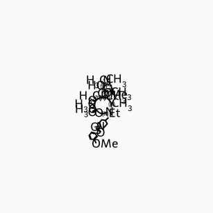 CCN1C[C@H](C)C[C@@](C)(OC)[C@H](O[C@@H]2O[C@H](C)C[C@H](N(C)C)[C@H]2O)[C@@H](C)C(=O)C(C)(C)C(=O)OC[C@H]1CC1CCN(S(=O)(=O)c2cccc(OC)c2)CC1